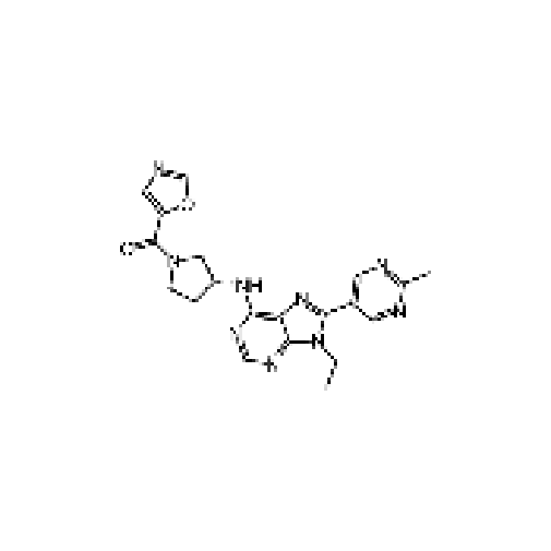 CCn1c(-c2cnc(C)nc2)nc2c(N[C@@H]3CCN(C(=O)c4cnco4)C3)ncnc21